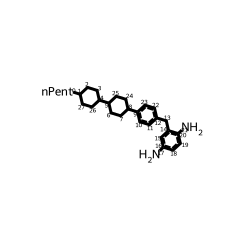 CCCCCC1CCC(C2CCC(c3ccc(Cc4cc(N)ccc4N)cc3)CC2)CC1